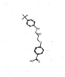 CC(C)(C)c1ccc(NCCCOc2ccc(C(=O)O)cc2)cc1.Cl